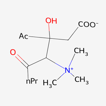 CCCC(=O)C(C(O)(CC(=O)[O-])C(C)=O)[N+](C)(C)C